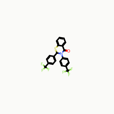 O=C1c2ccccc2SC(c2ccc(C(F)(F)F)cc2)N1c1ccc(C(F)(F)F)cc1